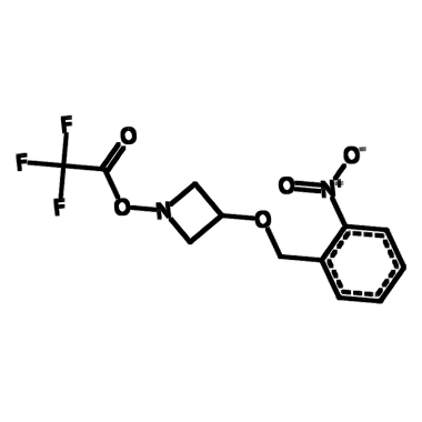 O=C(ON1CC(OCc2ccccc2[N+](=O)[O-])C1)C(F)(F)F